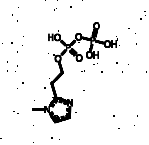 Cn1ccnc1CCOP(=O)(O)OP(=O)(O)O